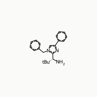 CC(C)(C)[C@@H](N)c1nc(-c2ccccc2)cn1Cc1ccccc1